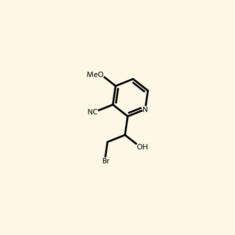 COc1ccnc(C(O)CBr)c1C#N